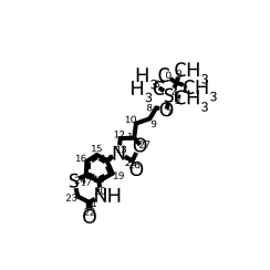 CC(C)(C)[Si](C)(C)OCCCC1CN(c2ccc3c(c2)NC(=O)CS3)C(=O)O1